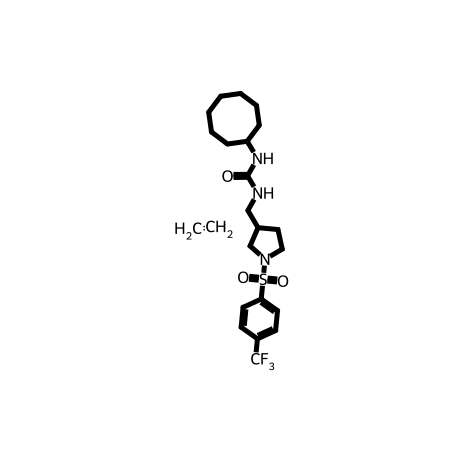 O=C(NCC1CCN(S(=O)(=O)c2ccc(C(F)(F)F)cc2)C1)N[C]1CCCCCCC1.[CH2].[CH2]